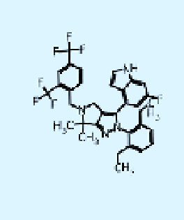 CCc1cccc(CC)c1-n1nc2c(c1-c1cc(F)cc3[nH]ccc13)CN(Cc1ccc(C(F)(F)F)cc1C(F)(F)F)C2(C)C